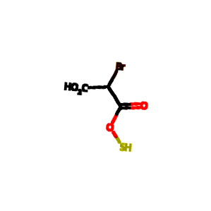 O=C(O)C(Br)C(=O)OS